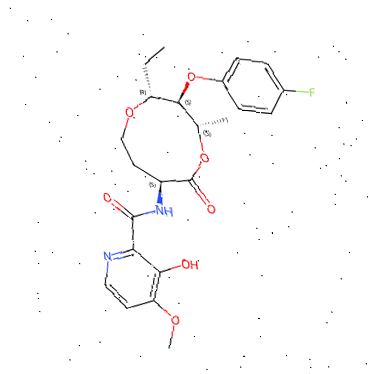 CC[C@H]1OCC[C@H](NC(=O)c2nccc(OC)c2O)C(=O)O[C@@H](C)[C@@H]1Oc1ccc(F)cc1